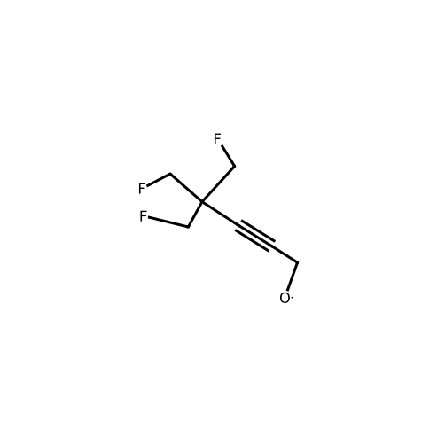 [O]CC#CC(CF)(CF)CF